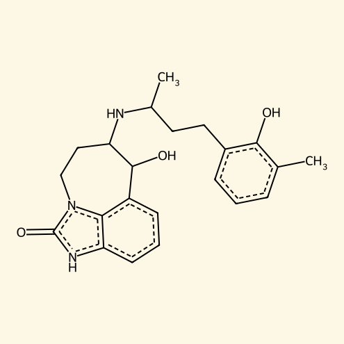 Cc1cccc(CCC(C)NC2CCn3c(=O)[nH]c4cccc(c43)C2O)c1O